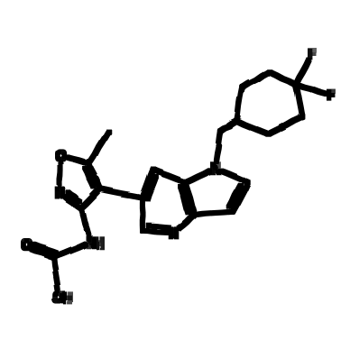 Cc1onc(NC(=O)O)c1-c1cnc2ccn(CC3CCC(F)(F)CC3)c2c1